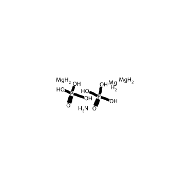 N.O=P(O)(O)O.O=P(O)(O)O.[MgH2].[MgH2].[MgH2]